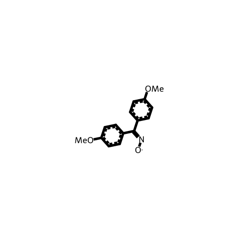 COc1ccc(C(=N[O])c2ccc(OC)cc2)cc1